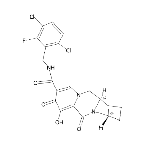 O=C(NCc1c(Cl)ccc(Cl)c1F)c1cn2c(c(O)c1=O)C(=O)N1[C@H]3CCC3[C@@H]1C2